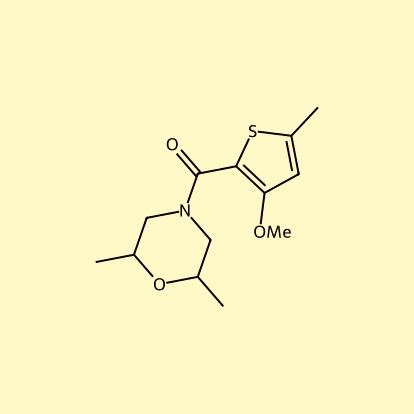 COc1cc(C)sc1C(=O)N1CC(C)OC(C)C1